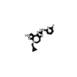 Fc1cccc(Nc2nc3c(s2)CCN(CC2CC2)c2n[nH]cc2-3)n1